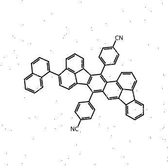 N#Cc1ccc(-c2c3cc4c5ccccc5c5cccc(c3c(-c3ccc(C#N)cc3)c3c6cccc7c(-c8cccc9ccccc89)ccc(c23)c76)c54)cc1